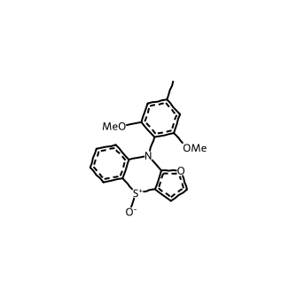 COc1cc(C)cc(OC)c1N1c2ccccc2[S+]([O-])c2ccoc21